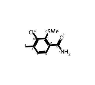 CSc1c(C(N)=O)ccc(C)c1Cl